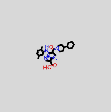 Cc1ccc(C)c(Nc2c(C(=O)N3CCC(C4CCCCC4)CC3)cnc3c(C(=O)O)cnn23)c1